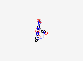 Cc1cc([C@@H](C)C(OC(=O)N2CCC(N3CCc4ccccc4NC3=O)CC2)C(=O)N2CCC(N3CCN(S(C)(=O)=O)CC3)CC2)cc2ccc(=O)[nH]c12